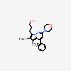 CCOC(=O)c1c(C(=O)OCC)c2c(-c3ccccc3)cc(N3CCOCC3)nn2c1CCCO